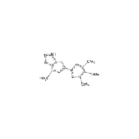 COc1cc(-c2cc(C(=O)O)c3nc[nH]c3c2)cc(OC)c1OC